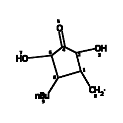 [CH2]C1C(O)C(=O)C(O)C1CCCC